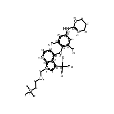 C[Si](C)(C)CCOCn1cc(C(F)(F)F)c2c(Oc3c(F)cc(NC4=NCCCO4)cc3F)ccnc21